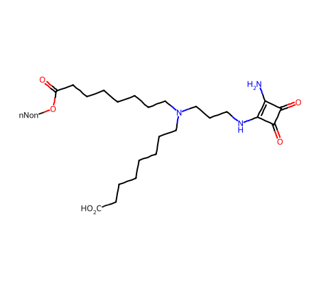 CCCCCCCCCOC(=O)CCCCCCCN(CCCCCCCC(=O)O)CCCNc1c(N)c(=O)c1=O